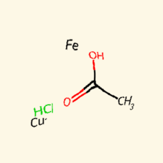 CC(=O)O.Cl.[Cu].[Fe]